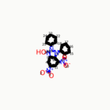 O=[N+]([O-])c1cc2c(c([N+](=O)[O-])c1)N(c1ccccc1)N(c1ccccc1)N2O